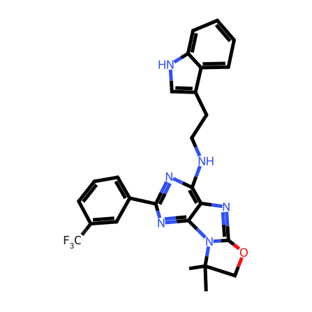 CC1(C)COc2nc3c(NCCc4c[nH]c5ccccc45)nc(-c4cccc(C(F)(F)F)c4)nc3n21